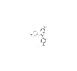 CNC(=O)c1ccc(-c2nc3cc(C(F)F)ccn3c2C[C@H]2CN(C(=O)OC)CCO2)c(Cl)c1